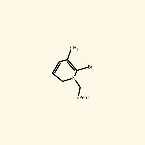 CCCCCCN1CC=CC(C)=C1Br